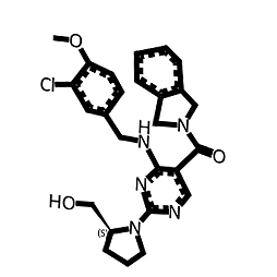 COc1ccc(CNc2nc(N3CCC[C@H]3CO)ncc2C(=O)N2Cc3ccccc3C2)cc1Cl